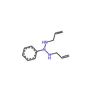 C=CCNN(NCC=C)c1ccccc1